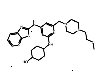 COCCN1CCN(Cc2cc(Nc3nc4cccnc4s3)nc(NC3CCC(O)CC3)n2)CC1